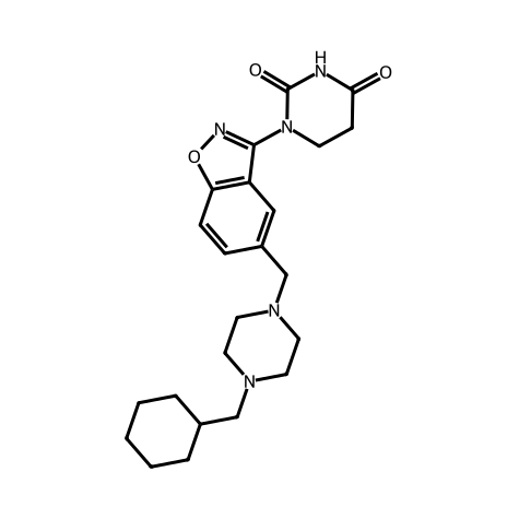 O=C1CCN(c2noc3ccc(CN4CCN(CC5CCCCC5)CC4)cc23)C(=O)N1